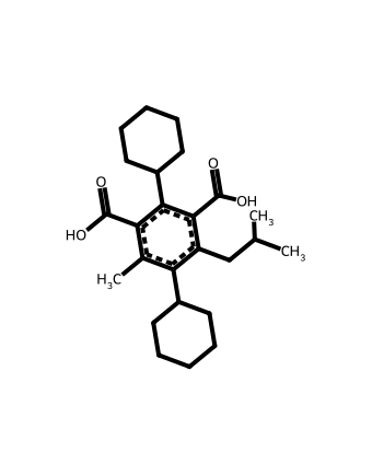 Cc1c(C(=O)O)c(C2CCCCC2)c(C(=O)O)c(CC(C)C)c1C1CCCCC1